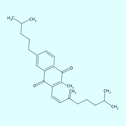 C=C(/C=C\C1=C(C)C(=O)c2ccc(CCCC(C)C)cc2C1=O)CCCC(C)C